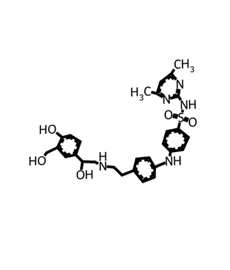 Cc1cc(C)nc(NS(=O)(=O)c2ccc(Nc3ccc(CCNCC(O)c4ccc(O)c(CO)c4)cc3)cc2)n1